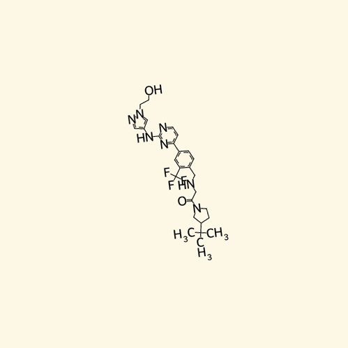 CC(C)(C)C1CCN(C(=O)CNCc2ccc(-c3ccnc(Nc4cnn(CCO)c4)n3)cc2C(F)(F)F)C1